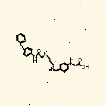 CN(CCCN(C)Cc1ccc(NCC(=O)O)cc1)CC(=O)Nc1ccc(Oc2ccccc2)cc1